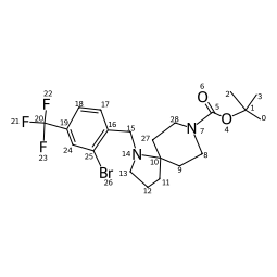 CC(C)(C)OC(=O)N1CCC2(CCCN2Cc2ccc(C(F)(F)F)cc2Br)CC1